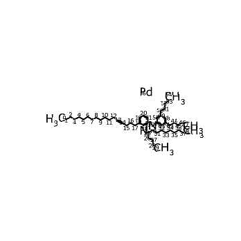 CCCCCCCCCCCCCC#CCCCc1ccccc1N=C(CCCC)C(CCCCCCCC)=Nc1cc(CCCCC)cc(CCCCC)c1.[Pd]